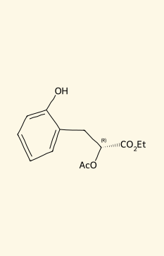 CCOC(=O)[C@@H](Cc1ccccc1O)OC(C)=O